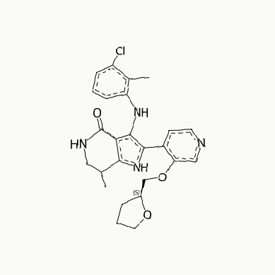 Cc1c(Cl)cccc1Nc1c(-c2ccncc2OC[C@@H]2CCCO2)[nH]c2c1C(=O)NCC2C